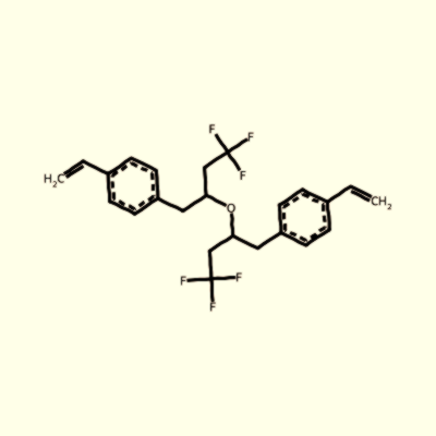 C=Cc1ccc(CC(CC(F)(F)F)OC(Cc2ccc(C=C)cc2)CC(F)(F)F)cc1